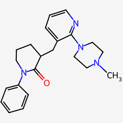 CN1CCN(c2ncccc2CC2CCCN(c3ccccc3)C2=O)CC1